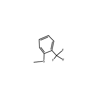 CSc1cc[c]cc1C(F)(F)F